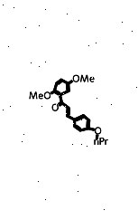 CCCOc1ccc(C=CC(=O)c2cc(OC)ccc2OC)cc1